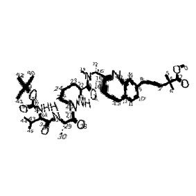 COC(=O)C(C)(C)/C=C/c1ccc2ccc([C@@H](C)N(C)C(=O)[C@@H]3CCCN(C(=O)[C@H](C)NC(=O)C(NC(=O)OC(C)(C)C)C(C)C)N3)nc2c1